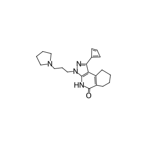 O=c1[nH]c2c(c(C3=CC=C3)nn2CCCN2CCCC2)c2c1CCCC2